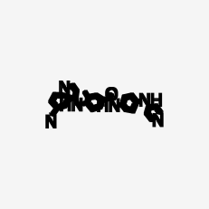 Cc1cc(C(=O)Nc2ccc(Nc3ccncc3)cc2)ccc1Nc1ccnc2ccc(C#N)cc12